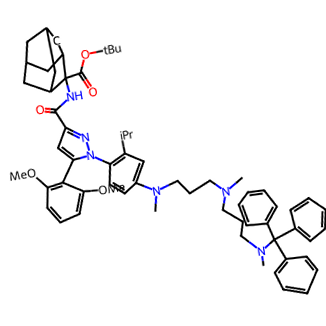 COc1cccc(OC)c1-c1cc(C(=O)NC2(C(=O)OC(C)(C)C)C3CC4CC(C3)CC2C4)nn1-c1ccc(N(C)CCCN(C)CCCN(C)C(c2ccccc2)(c2ccccc2)c2ccccc2)cc1C(C)C